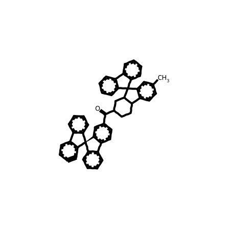 Cc1ccc2c(c1)C1(c3ccccc3-c3ccccc31)C1CC(C(=O)c3ccc4c(c3)[C@]3(c5c#cccc5-c5ccccc53)c3ccccc3-4)CCC21